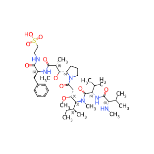 CC[C@H](C)[C@@H]([C@@H](CC(=O)N1CCC[C@H]1C(OC)[C@@H](C)C(=O)N[C@@H](Cc1ccccc1)C(=O)NCCS(=O)(=O)O)OC)N(C)C(=O)[C@@H](NC(=O)[C@@H](NC)C(C)C)C(C)C